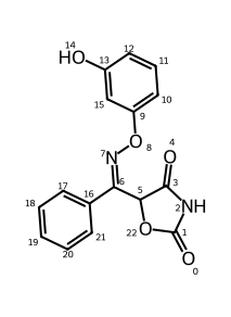 O=C1NC(=O)C(/C(=N\Oc2cccc(O)c2)c2ccccc2)O1